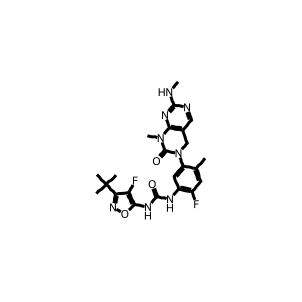 CNc1ncc2c(n1)N(C)C(=O)N(c1cc(NC(=O)Nc3onc(C(C)(C)C)c3F)c(F)cc1C)C2